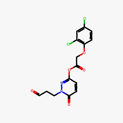 O=CCCn1nc(OC(=O)COc2ccc(Cl)cc2Cl)ccc1=O